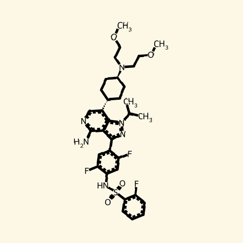 COCCN(CCOC)[C@H]1CC[C@H](c2cnc(N)c3c(-c4cc(F)c(NS(=O)(=O)c5ccccc5F)cc4F)nn(C(C)C)c32)CC1